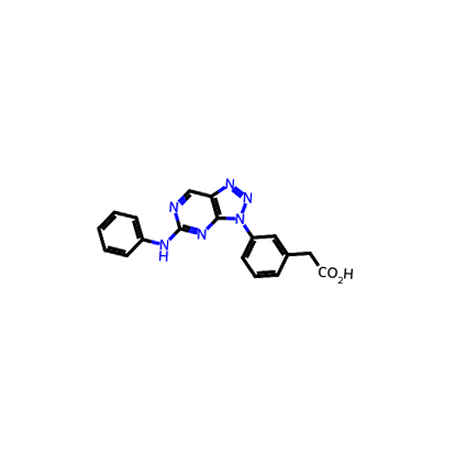 O=C(O)Cc1cccc(-n2nnc3cnc(Nc4ccccc4)nc32)c1